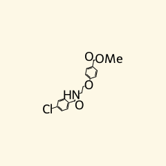 COC(=O)c1ccc(OCCNC(=O)c2ccc(Cl)cc2)cc1